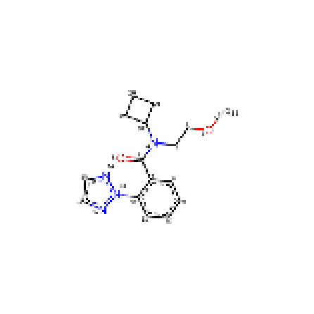 CCCCOCCN(C(=O)c1ccccc1-n1nccn1)C1CCC1